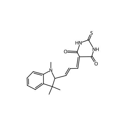 CN1c2ccccc2C(C)(C)C1/C=C/C=C1C(=O)NC(=S)NC1=O